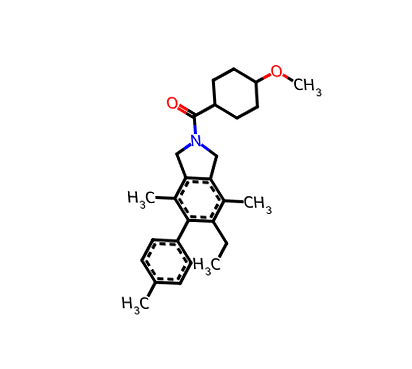 CCc1c(C)c2c(c(C)c1-c1ccc(C)cc1)CN(C(=O)C1CCC(OC)CC1)C2